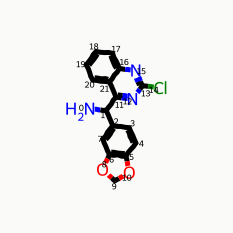 NC(c1ccc2c(c1)OCO2)c1nc(Cl)nc2ccccc12